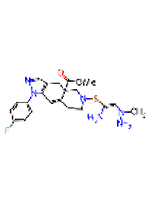 COC(=O)C12Cc3cnn(-c4ccc(F)cc4)c3C=C1CCN(S/C(N)=C/N(C)N)C2